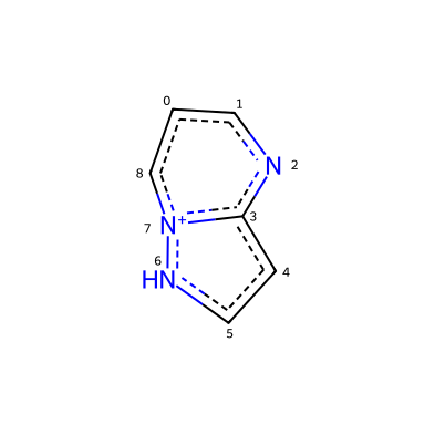 c1cnc2cc[nH][n+]2c1